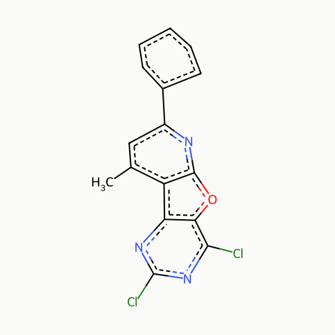 Cc1cc(-c2ccccc2)nc2oc3c(Cl)nc(Cl)nc3c12